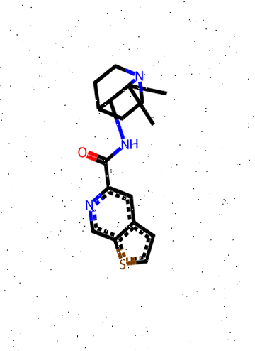 CC1(C)C(NC(=O)c2cc3ccsc3cn2)C2CCN1CC2